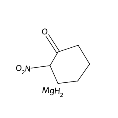 O=C1CCCCC1[N+](=O)[O-].[MgH2]